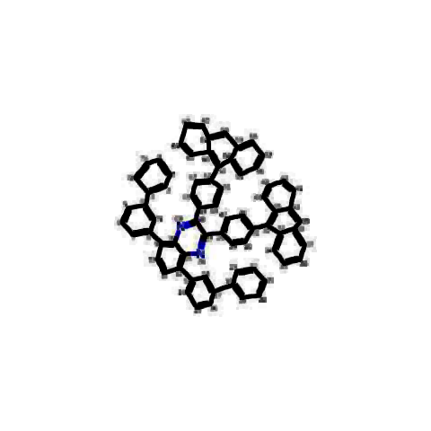 c1ccc(-c2cccc(-c3ccc(-c4cccc(-c5ccccc5)c4)c4nc(-c5ccc(-c6c7ccccc7cc7ccccc67)cc5)c(-c5ccc(-c6c7ccccc7cc7ccccc67)cc5)nc34)c2)cc1